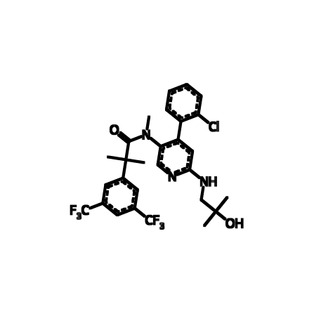 CN(C(=O)C(C)(C)c1cc(C(F)(F)F)cc(C(F)(F)F)c1)c1cnc(NCC(C)(C)O)cc1-c1ccccc1Cl